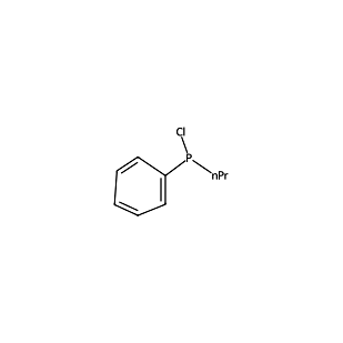 CCCP(Cl)c1ccccc1